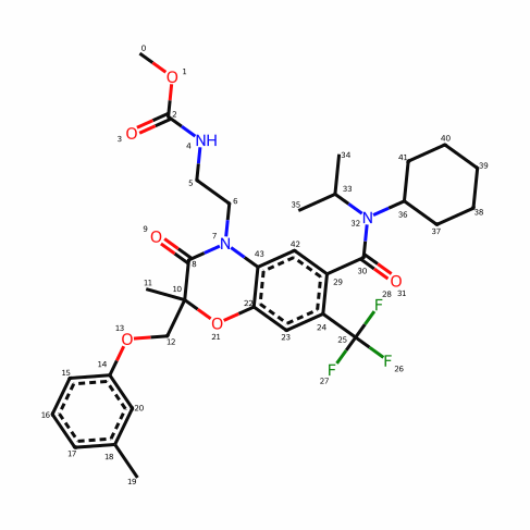 COC(=O)NCCN1C(=O)C(C)(COc2cccc(C)c2)Oc2cc(C(F)(F)F)c(C(=O)N(C(C)C)C3CCCCC3)cc21